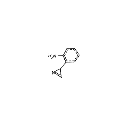 Nc1ccccc1C1C=N1